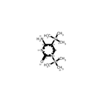 C[Si](C)(C)c1cn([Si](C)(C)C)c(=O)nc1N